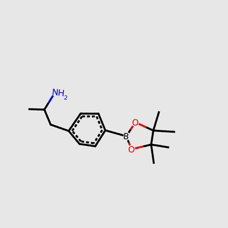 CC(N)Cc1ccc(B2OC(C)(C)C(C)(C)O2)cc1